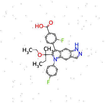 CCOC(C)(CC)c1c(-c2ccc(C(=O)O)cc2F)c2cc3[nH]ncc3cc2n1-c1ccc(F)cc1